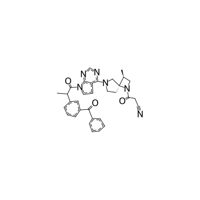 CC(C(=O)n1ccc2c(N3CC[C@]4(C3)[C@@H](C)CN4C(=O)CC#N)ncnc21)c1cccc(C(=O)c2ccccc2)c1